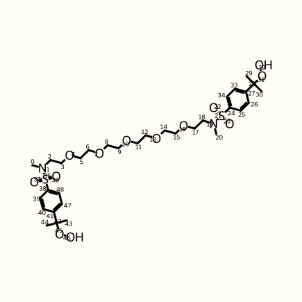 CN(CCOCCOCCOCCOCCOCCN(C)S(=O)(=O)c1ccc(C(C)(C)OO)cc1)S(=O)(=O)c1ccc(C(C)(C)OO)cc1